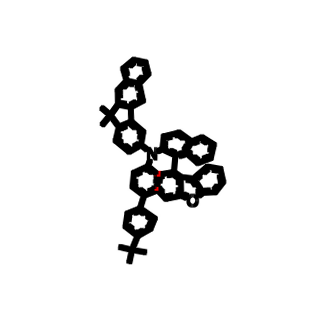 CC(C)(C)c1ccc(-c2ccc(N(c3ccc4c(c3)-c3cc5ccccc5cc3C4(C)C)c3ccc4ccccc4c3-c3cccc4oc5ccccc5c34)cc2)cc1